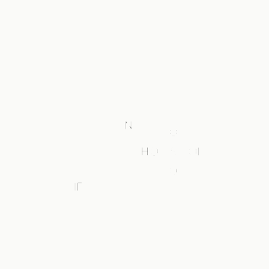 CCCC[N+](CCCC)(CCCC)CCCC.F.O=S(=O)(O)O